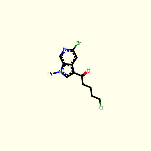 CC(C)n1cc(C(=O)CCCCCl)c2cc(Br)ncc21